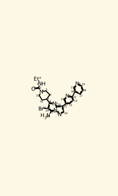 CCNC(=O)N1CCC(c2nc3c(-c4ccc(-c5cccnc5)nc4)cnn3c(N)c2Br)CC1